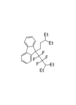 CCC(CC)CCC1(C(F)(F)C(F)(F)C(CC)CC)c2ccccc2-c2ccccc21